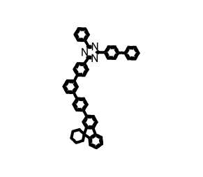 c1ccc(-c2ccc(-c3nc(-c4ccccc4)nc(-c4ccc(-c5cccc(-c6ccc(-c7ccc8c(c7)C7(CCCCC7)c7ccccc7-8)cc6)c5)cc4)n3)cc2)cc1